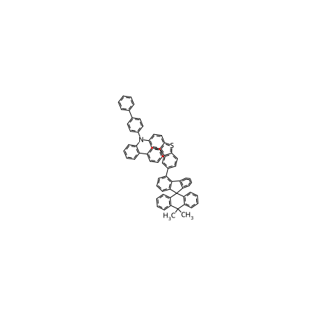 CC1(C)c2ccccc2C2(c3ccccc3-c3c(-c4ccc5sc6ccc(N(c7ccc(-c8ccccc8)cc7)c7ccccc7-c7ccccc7)cc6c5c4)cccc32)c2ccccc21